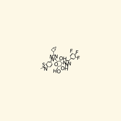 Cc1nc2ccc(-n3nc(C4CC5CC54)nc3[C@@H]3O[C@H](CO)[C@H](O)[C@H](n4cc(-c5cc(F)c(F)c(F)c5)nn4)[C@H]3O)cc2s1